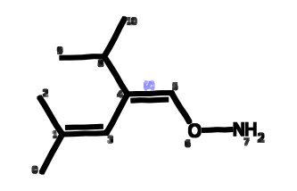 CC(C)=C/C(=C\ON)C(C)C